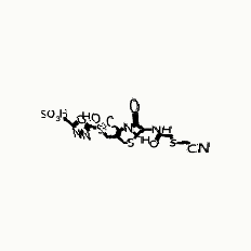 N#CCSCC(=O)NC1C(=O)N2C(C(=O)O)=C(CSc3nnc(CS(=O)(=O)O)o3)CS[C@H]12